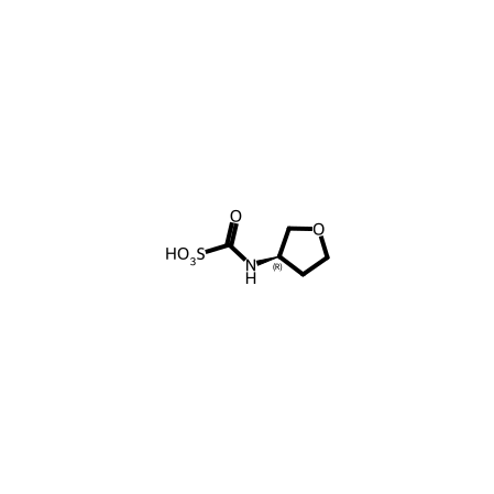 O=C(N[C@@H]1CCOC1)S(=O)(=O)O